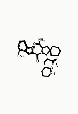 COc1cccc2[nH]c(C(=O)N3C(C(N)=O)CC4(CCCCC4)[C@@H]3C(C[C@@H]3CCCNC3=O)C(N)=O)cc12